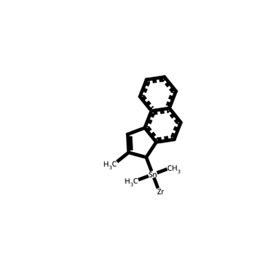 CC1=Cc2c(ccc3ccccc23)[CH]1[Sn]([CH3])([CH3])[Zr]